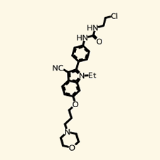 CCn1c(-c2ccc(NC(=O)NCCCl)cc2)c(C#N)c2ccc(OCCCN3CCOCC3)cc21